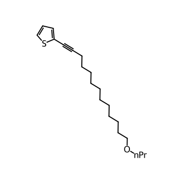 CCCOCCCCCCCCCCCC#Cc1cccs1